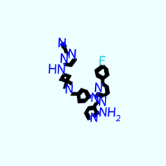 N#Cc1nccc(NC2CC3(C2)CN(Cc2ccc(-n4c(-c5cccnc5N)nc5ccc(-c6ccc(F)cc6)nc54)cc2)C3)n1